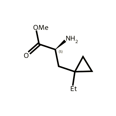 CCC1(C[C@H](N)C(=O)OC)CC1